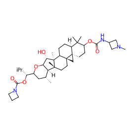 CC(C)[C@@H](OC(=O)N1CCC1)C1C[C@@H](C)[C@H]2C(O1)[C@H](O)[C@@]1(C)C3CC[C@H]4C(C)(C)C(OC(=O)NC5CN(C)C5)CC[C@@]45C[C@@]35CC[C@]21C